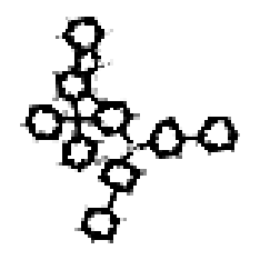 c1ccc(-c2ccc(N(c3ccc(-c4ccccc4)cc3)c3ccc4c(c3)C(c3ccccc3)(c3ccccc3)c3ccc5c(sc6ccccc65)c3-4)cc2)cc1